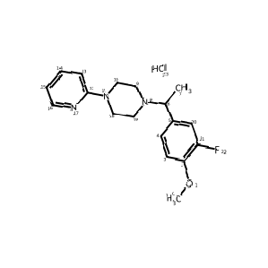 COc1ccc(C(C)N2CCN(c3ccccn3)CC2)cc1F.Cl